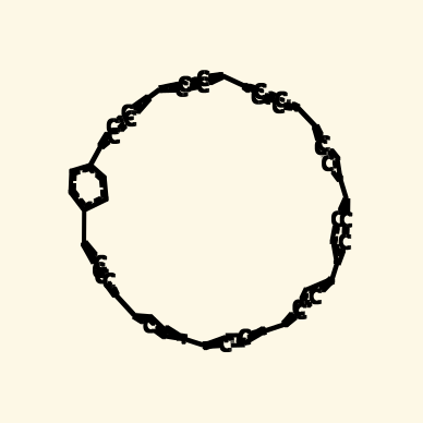 c1cc2ccc1-c1ccc(cc1)-c1ccc(cc1)-c1ccc(cc1)-c1ccc(cc1)-c1ccc(cc1)-c1ccc(cc1)-c1ccc(cc1)-c1ccc(cc1)-c1ccc-2cc1